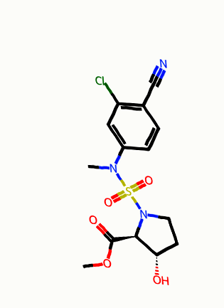 COC(=O)[C@@H]1[C@@H](O)CCN1S(=O)(=O)N(C)c1ccc(C#N)c(Cl)c1